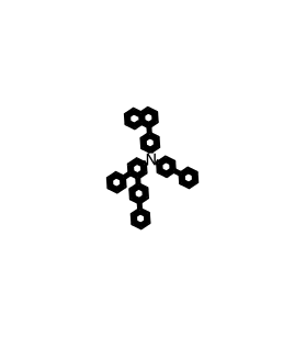 c1ccc(-c2ccc(-c3cc(N(c4ccc(-c5ccccc5)cc4)c4ccc(-c5cccc6ccccc56)cc4)ccc3-c3ccccc3)cc2)cc1